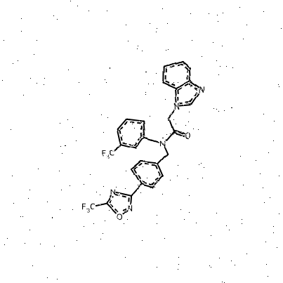 O=C(Cn1cnc2ccccc21)N(Cc1ccc(-c2noc(C(F)(F)F)n2)cc1)c1cccc(C(F)(F)F)c1